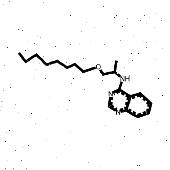 CCCCCCCCOCC(C)Nc1ncnc2ccccc12